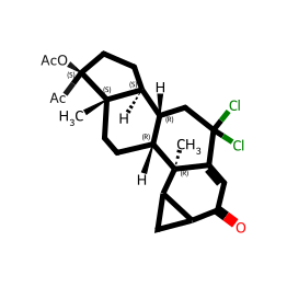 CC(=O)O[C@@]1(C(C)=O)CC[C@H]2[C@@H]3CC(Cl)(Cl)C4=CC(=O)C5CC5[C@@]4(C)[C@@H]3CC[C@@]21C